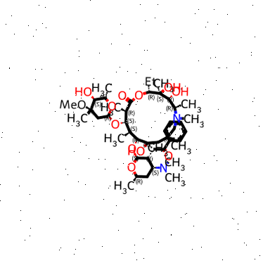 CC[C@H]1OC(=O)[C@H](C)[C@@H](O[C@H]2C[C@@](C)(OC)[C@@H](O)[C@H](C)O2)[C@H](C)[C@@H](O[C@@H]2O[C@H](C)C[C@H](N(C)C)[C@H]2CC(=O)c2ccccc2)[C@](C)(O)C[C@@H](C)CN(C)[C@H](C)[C@@H](O)[C@]1(C)O